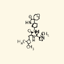 CC1CC(CC(NC(=O)c2ccnn2C)C(=O)Nc2ccc3c(c2)NC(=O)C32CCOCC2)C1C